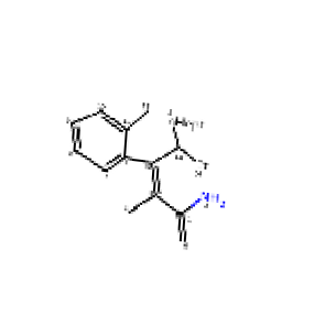 C=C(N)/C(C)=C(/c1ccccc1C)C(CC)CCCCCCC